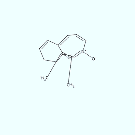 CC1=CC2=[N+]([O-])C=CC=C3C=CCCC32C=C1C